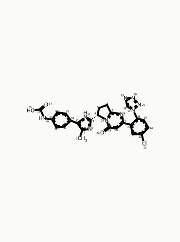 Cc1nc([C@@H]2CCc3nc(-c4cc(Cl)ccc4-n4cnnn4)cc(=O)n32)[nH]c1-c1ccc(NC(=O)O)cc1